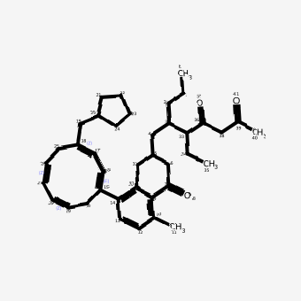 CCCC(CC1CC(=O)c2c(C)ccc(/C3=C/C=C(/CC4CCCC4)C/C=C\C=C/C3)c2C1)C(CC)C(=O)CC(C)=O